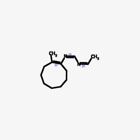 C\C=N/C=N\C1=C(/C)CCCCCCC1